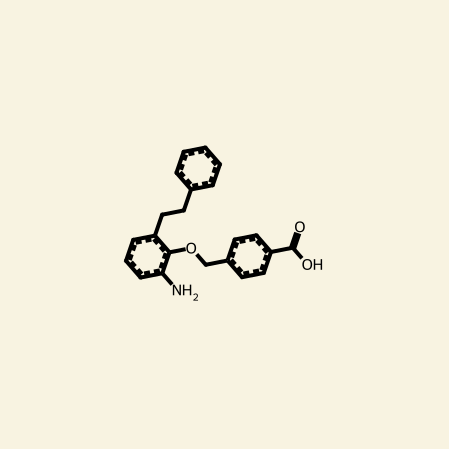 Nc1cccc(CCc2ccccc2)c1OCc1ccc(C(=O)O)cc1